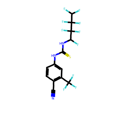 N#Cc1ccc(NC(=S)NC(F)C(F)(F)C(F)(F)C(F)F)cc1C(F)(F)F